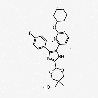 CC1(CO)COC(c2nc(-c3ccc(F)cc3)c(-c3ccnc(OC4CCCCC4)n3)[nH]2)OC1